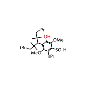 CCCc1c(OC)c(C(C(C)(C)CC(C)C)C(C)(C)CC(C)(C)C)c(O)c(OC)c1S(=O)(=O)O